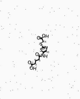 O=C(O)CCCC(=O)Nc1cnc(SCC(=O)O)s1